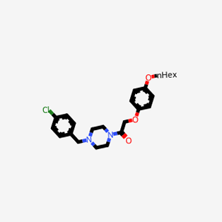 CCCCCCOc1ccc(OCC(=O)N2CCN(Cc3ccc(Cl)cc3)CC2)cc1